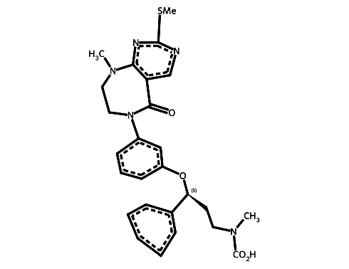 CSc1ncc2c(n1)N(C)CCN(c1cccc(O[C@@H](CCN(C)C(=O)O)c3ccccc3)c1)C2=O